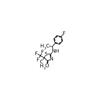 C[C@H](NC1=NC(=O)C(C)(C(F)(F)F)S1)c1ccc(F)cc1